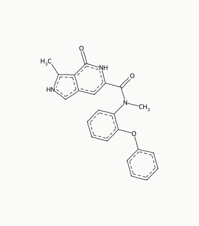 Cc1[nH]cc2cc(C(=O)N(C)c3ccccc3Oc3ccccc3)[nH]c(=O)c12